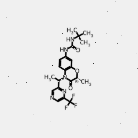 CC(c1cncc(C(F)(F)F)n1)N1C(=O)[C@@H](C)Oc2cc(NC(=O)NC(C)(C)C)ccc21